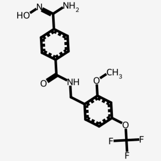 COc1cc(OC(F)(F)F)ccc1CNC(=O)c1ccc(/C(N)=N\O)cc1